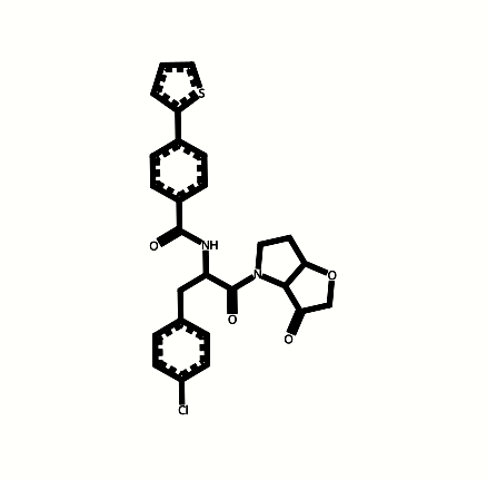 O=C(NC(Cc1ccc(Cl)cc1)C(=O)N1CCC2OCC(=O)C21)c1ccc(-c2cccs2)cc1